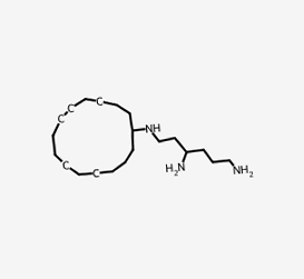 NCCCC(N)CCNC1CCCCCCCCCCCCCC1